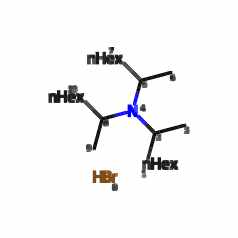 Br.CCCCCCC(C)N(C(C)CCCCCC)C(C)CCCCCC